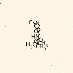 CC(C)(C)OC(=O)NCc1cc2cnc(Cl)cc2o1